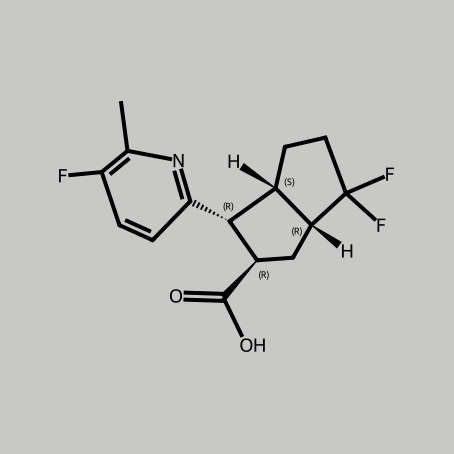 Cc1nc([C@@H]2[C@@H]3CCC(F)(F)[C@@H]3C[C@H]2C(=O)O)ccc1F